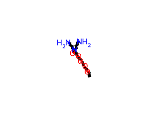 C#CCOCCOCCOCCOCCC(=O)N(CCCCN)CCCCN